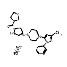 Cc1cc(N2CCN([C@@H]3CN[C@H](C(=O)N4CCSC4)C3)CC2)n(-c2ccccc2)n1.Cl.Cl.Cl